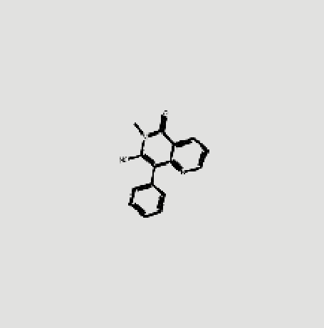 Cn1c(C#N)c(-c2ccccc2)c2ncccc2c1=O